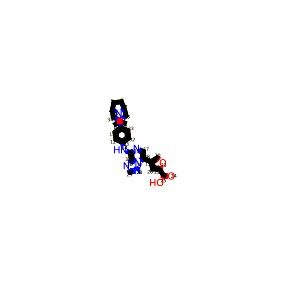 CC(C)N1C2CCC1CN(c1ccc(Nc3ncc(-c4coc(C(=O)O)c4)n4ncnc34)cc1)C2